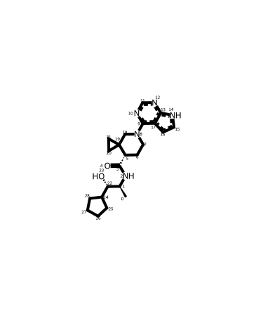 C[C@H](NC(=O)[C@H]1CCN(c2ncnc3[nH]ccc23)CC12CC2)[C@@H](O)C1CCCC1